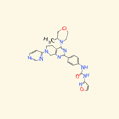 CC1COCCN1c1nc(-c2ccc(NC(=O)Nc3ccon3)cc2)nc2c1CCN(c1ccncn1)C2